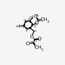 C=C(Cl)C(=O)OCc1cc(I)cc(I)c1OC(C)=O